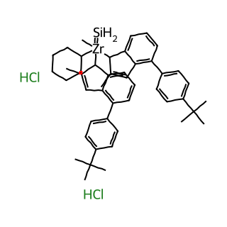 CC1=Cc2c(-c3ccc(C(C)(C)C)cc3)cccc2[CH]1[Zr]([CH3])(=[SiH2])([CH]1CCCCC1)[CH]1C(C)=Cc2c(-c3ccc(C(C)(C)C)cc3)cccc21.Cl.Cl